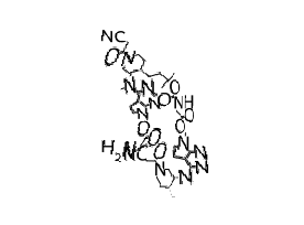 C[C@@H]1CCN(C(=O)CC#N)C[C@@H]1N(C)c1ncnc2c1ccn2COC(=O)CNC(=O)OC(C)(C)CC[C@@H]1CCN(C(=O)CC#N)C[C@@H]1N(C)c1ncnc2c1ccn2COC(=O)CN